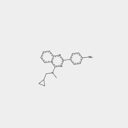 CN(CC1CC1)c1nc(-c2ccc(C(C)(C)C)cc2)nc2ccccc12